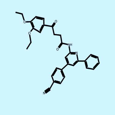 CCOc1ccc(C(=O)CCC(=O)Nc2cc(-c3ccc(C#N)cc3)cc(-c3ccccc3)n2)cc1OCC